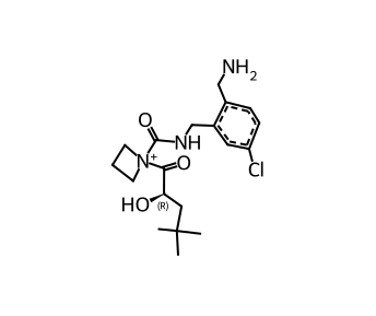 CC(C)(C)C[C@@H](O)C(=O)[N+]1(C(=O)NCc2cc(Cl)ccc2CN)CCC1